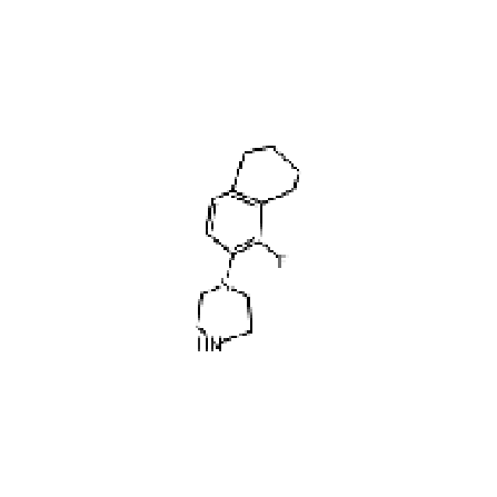 Fc1c(N2CCNCC2)ccc2c1CCCC2